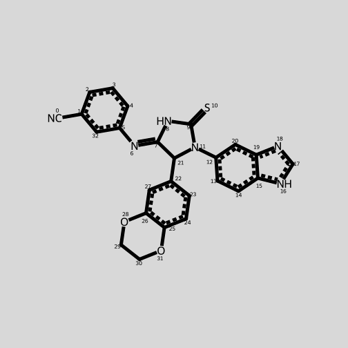 N#Cc1cccc(N=C2NC(=S)N(c3ccc4[nH]cnc4c3)C2c2ccc3c(c2)OCCO3)c1